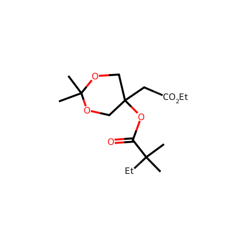 CCOC(=O)CC1(OC(=O)C(C)(C)CC)COC(C)(C)OC1